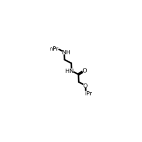 CCCNCCNC(=O)COC(C)C